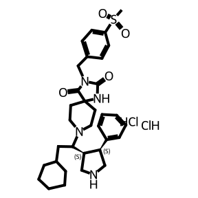 CS(=O)(=O)c1ccc(CN2C(=O)NC3(CCN(C(CC4CCCCC4)[C@@H]4CNC[C@@H]4c4ccccc4)CC3)C2=O)cc1.Cl.Cl